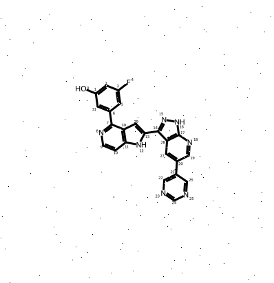 Oc1cc(F)cc(-c2nccc3[nH]c(-c4n[nH]c5ncc(-c6cncnc6)cc45)cc23)c1